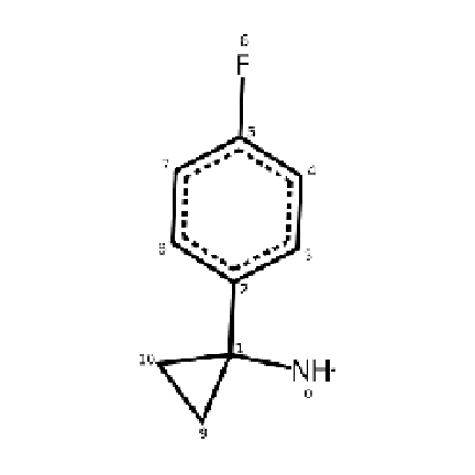 [NH]C1(c2ccc(F)cc2)CC1